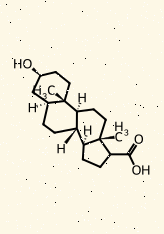 C[C@]12CC[C@H](O)C[C@@H]1CC[C@@H]1[C@@H]2CC[C@]2(C)C(C(=O)O)CC[C@@H]12